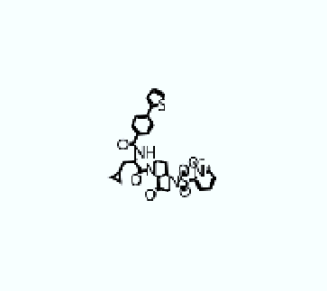 O=C(NC(CC1CC1)C(=O)N1CCC2C1C(=O)CN2S(=O)(=O)c1cccc[n+]1[O-])c1ccc(-c2cccs2)cc1